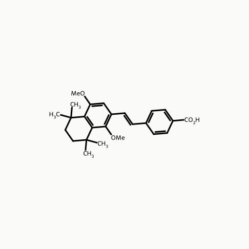 COc1cc(C=Cc2ccc(C(=O)O)cc2)c(OC)c2c1C(C)(C)CCC2(C)C